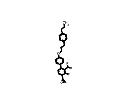 CCCc1ccc(CCCOc2ccc(-c3ccc(C4CO4)c(F)c3C(F)F)cc2)cc1